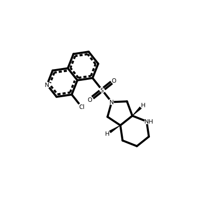 O=S(=O)(c1cccc2cncc(Cl)c12)N1C[C@H]2CCCN[C@H]2C1